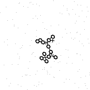 CC1(C)c2ccccc2-c2ccc(N(c3ccc(-c4ccc5c(c4)c4cc(C6(c7ccccc7)c7ccccc7-c7ccccc76)ccc4n5-c4ccccc4)cc3)c3ccc4c(ccc5ccccc54)c3)cc21